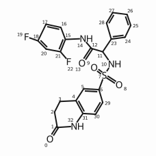 O=C1CCc2cc(S(=O)(=O)NC(C(=O)Nc3ccc(F)cc3F)c3ccccc3)ccc2N1